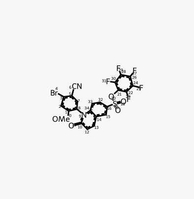 COc1cc(Br)c(C#N)cc1-n1c(=O)ccc2cc(S(=O)(=O)Oc3c(F)c(F)c(F)c(F)c3F)ccc21